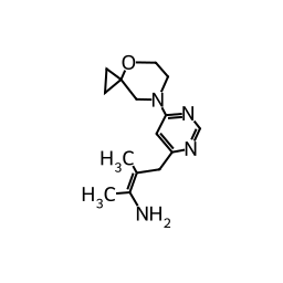 C/C(N)=C(\C)Cc1cc(N2CCOC3(CC3)C2)ncn1